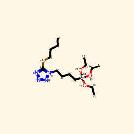 CCCCSc1nnnn1CCCC[Si](OCC)(OCC)OCC